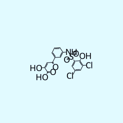 O=C(O)/C(O)=C\C(=O)c1cccc(NS(=O)(=O)c2cc(Cl)cc(Cl)c2O)c1